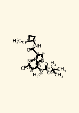 CO[C@H]1CCC1NC(=O)c1cnc2c(N(C)C(=O)OC(C)(C)C)cc(Cl)nn12